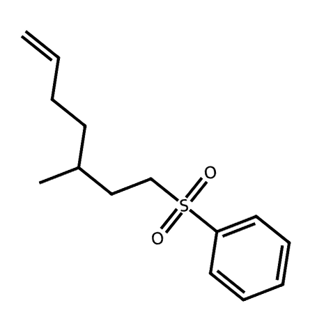 C=CCCC(C)CCS(=O)(=O)c1ccccc1